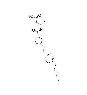 CCCCCc1ccc(CCc2ccc(C(=O)N[C@@H](CC)CC(=O)O)s2)cc1